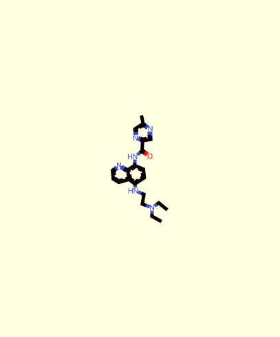 CCN(CC)CCNc1ccc(NC(=O)c2cnc(C)cn2)c2ncccc12